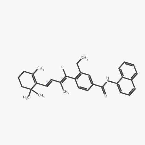 CCc1cc(C(=O)Nc2cccc3ccccc23)ccc1/C(F)=C(C)/C=C/C1=C(C)CCCC1(C)C